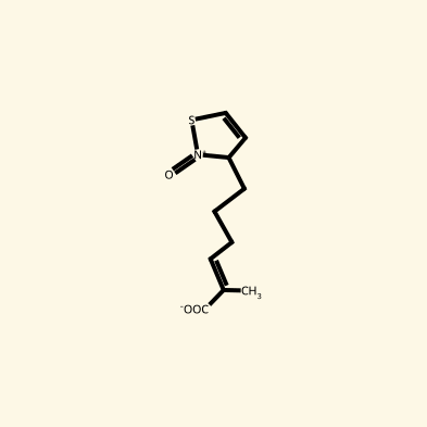 CC(=CCCCC1C=CS[N+]1=O)C(=O)[O-]